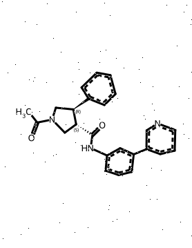 CC(=O)N1C[C@@H](C(=O)Nc2cccc(-c3cccnc3)c2)[C@H](c2ccccc2)C1